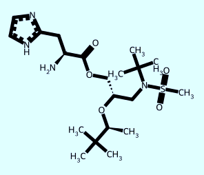 C[C@H](O[C@H](COC(=O)[C@@H](N)Cc1ncc[nH]1)CN(C(C)(C)C)S(C)(=O)=O)C(C)(C)C